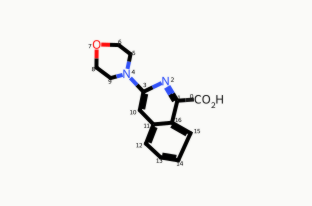 O=C(O)c1nc(N2CCOCC2)cc2ccccc12